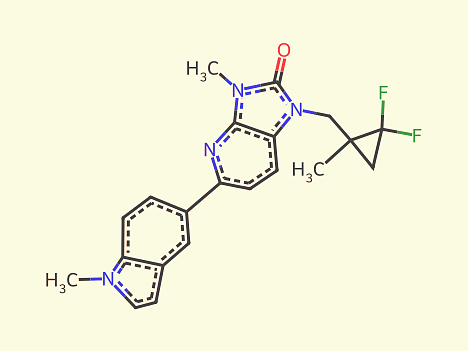 Cn1ccc2cc(-c3ccc4c(n3)n(C)c(=O)n4CC3(C)CC3(F)F)ccc21